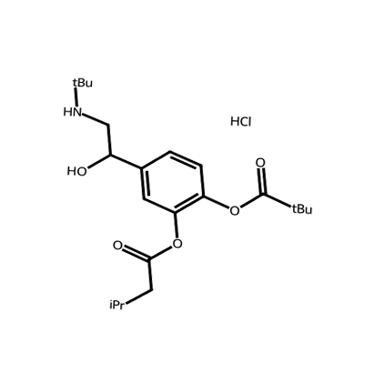 CC(C)CC(=O)Oc1cc(C(O)CNC(C)(C)C)ccc1OC(=O)C(C)(C)C.Cl